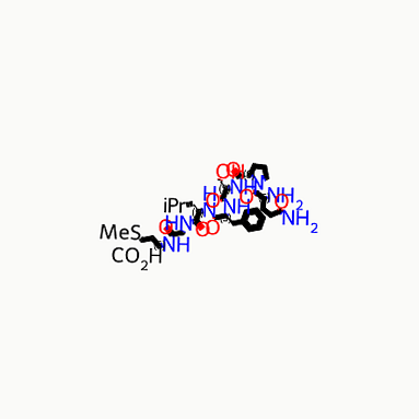 CSCC[C@H](NC(=O)CNC(=O)[C@H](CC(C)C)NC(=O)[C@H](Cc1ccccc1)NC(=O)[C@H](CO)NC(=O)[C@@H]1CCCN1C(=O)[C@@H](N)CCC(N)=O)C(=O)O